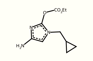 CCOC(=O)Oc1nc(N)cn1CC1CC1